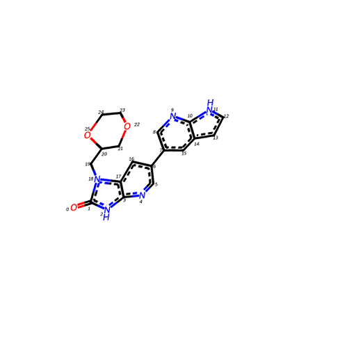 O=c1[nH]c2ncc(-c3cnc4[nH]ccc4c3)cc2n1CC1COCCO1